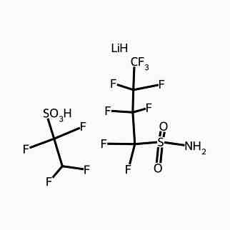 NS(=O)(=O)C(F)(F)C(F)(F)C(F)(F)C(F)(F)F.O=S(=O)(O)C(F)(F)C(F)F.[LiH]